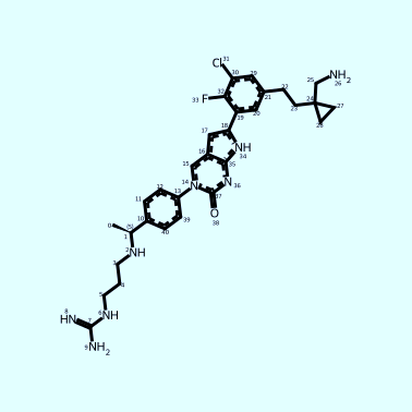 C[C@H](NCCCNC(=N)N)c1ccc(-n2cc3cc(-c4cc(CCC5(CN)CC5)cc(Cl)c4F)[nH]c3nc2=O)cc1